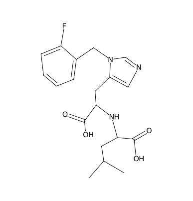 CC(C)CC(NC(Cc1cncn1Cc1ccccc1F)C(=O)O)C(=O)O